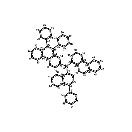 c1ccc(-c2ccc(N(c3ccc4c(c3)c(-c3ccccc3)c(-c3ccccc3)c3ccccc34)c3cccc4c3ccc3ccccc34)c3ccccc23)cc1